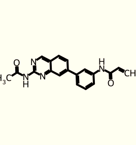 C=CC(=O)Nc1cccc(-c2ccc3cnc(NC(C)=O)nc3c2)c1